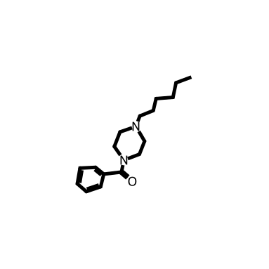 CCCCCCN1CCN(C(=O)c2ccccc2)CC1